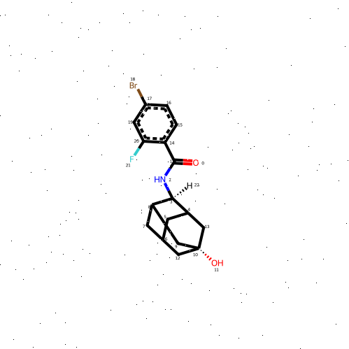 O=C(N[C@H]1C2CC3CC1C[C@](O)(C3)C2)c1ccc(Br)cc1F